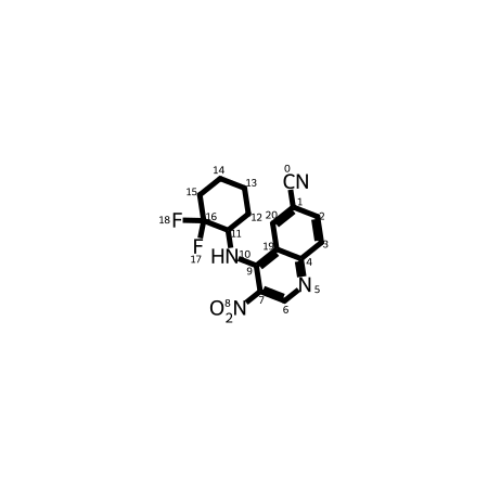 N#Cc1ccc2ncc([N+](=O)[O-])c(NC3CCCCC3(F)F)c2c1